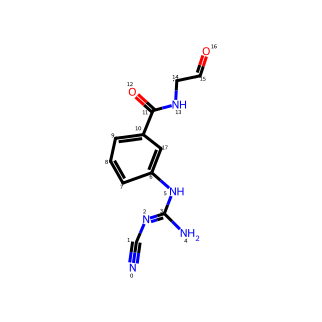 N#CN=C(N)Nc1cccc(C(=O)N[CH]C=O)c1